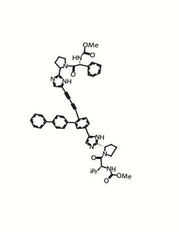 COC(=O)N[C@H](C(=O)N1CCC[C@H]1c1ncc(-c2ccc(C#CC#Cc3cnc(C4CCCN4C(=O)[C@H](NC(=O)OC)c4ccccc4)[nH]3)c(-c3ccc(-c4ccccc4)cc3)c2)[nH]1)C(C)C